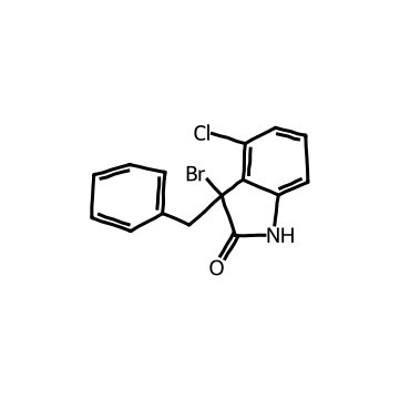 O=C1Nc2cccc(Cl)c2C1(Br)Cc1ccccc1